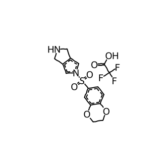 O=C(O)C(F)(F)F.O=S(=O)(c1ccc2c(c1)OCCO2)n1cc2c(c1)CNC2